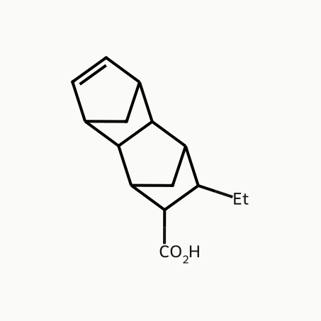 CCC1C2CC(C1C(=O)O)C1C3C=CC(C3)C21